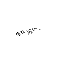 CCCCCc1ccc(-c2ccc(C3CCC(COc4ccc(OC)c(F)c4)CC3)c(F)c2F)cc1